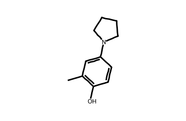 Cc1cc(N2CCCC2)ccc1O